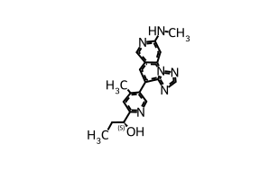 CC[C@H](O)c1cc(C)c(-c2cc3cnc(NC)cc3n3ncnc23)cn1